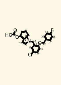 O=C(O)Oc1cccc2c1ccn2Cc1cc(Cl)ccc1OCc1ccc(F)cc1